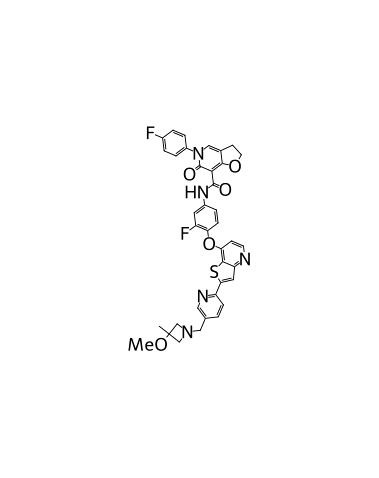 COC1(C)CN(Cc2ccc(-c3cc4nccc(Oc5ccc(NC(=O)c6c7c(cn(-c8ccc(F)cc8)c6=O)CCO7)cc5F)c4s3)nc2)C1